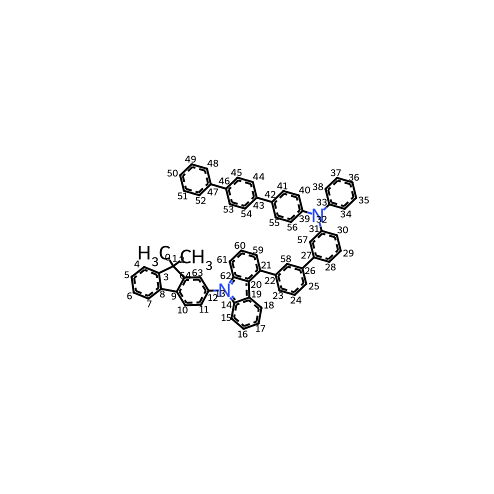 CC1(C)c2ccccc2-c2ccc(-n3c4ccccc4c4c(-c5cccc(-c6cccc(N(c7ccccc7)c7ccc(-c8ccc(-c9ccccc9)cc8)cc7)c6)c5)cccc43)cc21